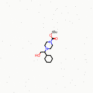 CC(C)(C)OC(=O)N1CCN(C(CO)C2CCCCC2)CC1